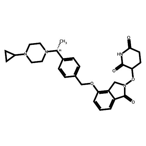 C[C@H](c1ccc(COc2cccc3c2CN(OC2CCC(=O)NC2=O)C3=O)cc1)N1CCN(C2CC2)CC1